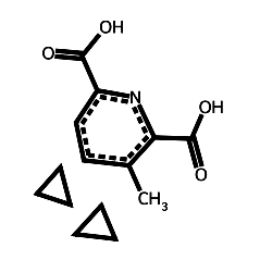 C1CC1.C1CC1.Cc1ccc(C(=O)O)nc1C(=O)O